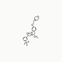 CC(Cc1ccc(OCCN2CCOCC2)cc1)NCC(O)c1cccc(C(F)(F)F)c1